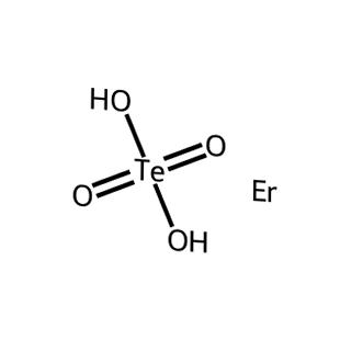 O=[Te](=O)(O)O.[Er]